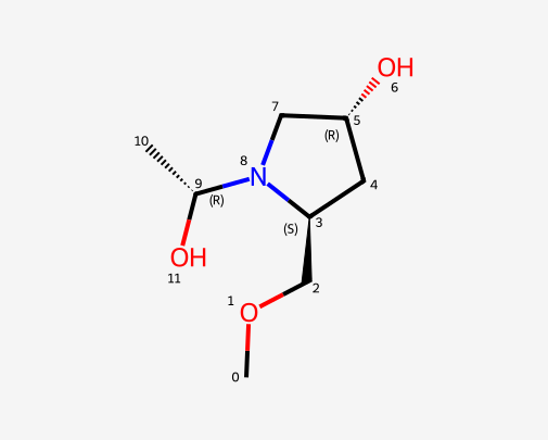 COC[C@@H]1C[C@@H](O)CN1[C@@H](C)O